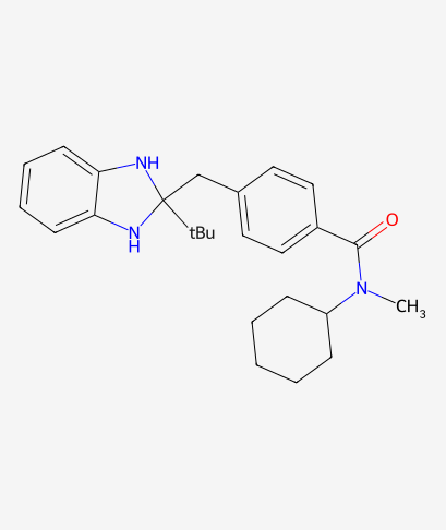 CN(C(=O)c1ccc(CC2(C(C)(C)C)Nc3ccccc3N2)cc1)C1CCCCC1